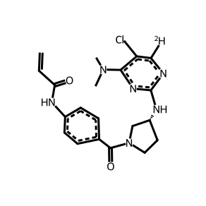 [2H]c1nc(N[C@@H]2CCN(C(=O)c3ccc(NC(=O)C=C)cc3)C2)nc(N(C)C)c1Cl